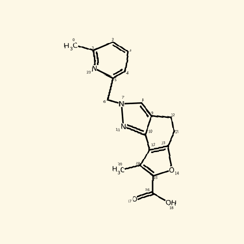 Cc1cccc(Cn2cc3c(n2)-c2c(oc(C(=O)O)c2C)CC3)n1